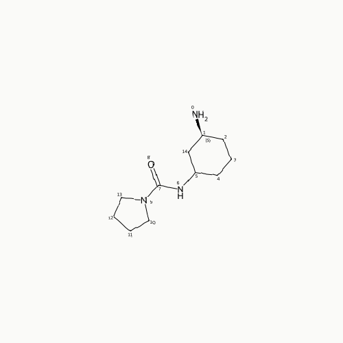 N[C@H]1CCCC(NC(=O)N2CCCC2)C1